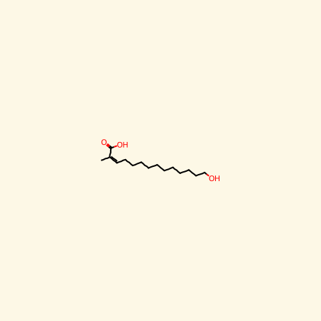 CC(=CCCCCCCCCCCCO)C(=O)O